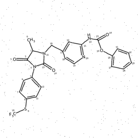 CC1C(=O)N(c2ccc(SC(F)(F)F)cc2)C(=O)N1Cc1ccnc(NC(=O)Oc2ccccc2)c1